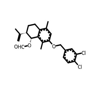 C=C(C)[C@@H]1CCc2c(C)cc(OCc3ccc(Cl)c(Cl)c3)c(C)c2[C@@H]1OC=O